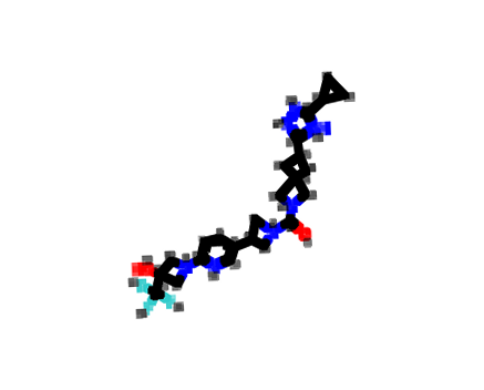 O=C(N1CC(c2ccc(N3CC(O)(C(F)(F)F)C3)nc2)C1)N1CC2(CC(c3nnc(C4CC4)[nH]3)C2)C1